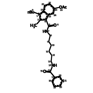 CCCCn1c(C)c(C(=O)NCCCCCCNC(=O)c2cccnc2)c2cc(OC(C)=O)ccc21